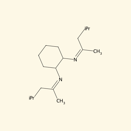 CC(CC(C)C)=NC1CCCCC1N=C(C)CC(C)C